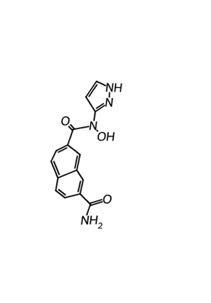 NC(=O)c1ccc2ccc(C(=O)N(O)c3cc[nH]n3)cc2c1